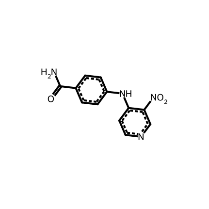 NC(=O)c1ccc(Nc2ccncc2[N+](=O)[O-])cc1